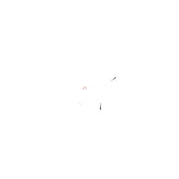 CCN(CC)C(=O)[C@@]1(C)C(C)[C@]12CCCc1ccc(O)cc12